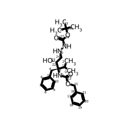 CC(C)[C@](Cc1ccccc1)(NC(=O)OCc1ccccc1)[C@H](O)CNNC(=O)OC(C)(C)C